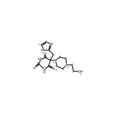 O=C1NC(=O)C(Cc2ncc[nH]2)(N2CCN(CCO)CC2)C(=O)N1